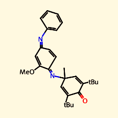 COC1=CC(=Nc2ccccc2)C=CC1=NC1(C)C=C(C(C)(C)C)C(=O)C(C(C)(C)C)=C1